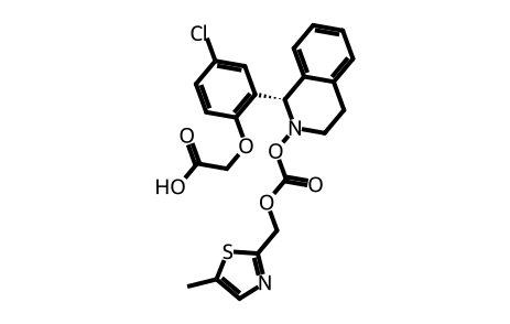 Cc1cnc(COC(=O)ON2CCc3ccccc3[C@H]2c2cc(Cl)ccc2OCC(=O)O)s1